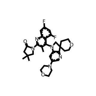 Cc1c(N2CC(C)(C)CC2=O)nc2cc(F)cc(F)c2c1N1CC2(CCOCC2)c2ncc(N3CCOCC3)cc21